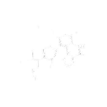 CNCC(c1ccc(-c2c(OC)cc(C)c3[nH]c(=O)c4sccc4c23)cc1F)C(C)C.Cl